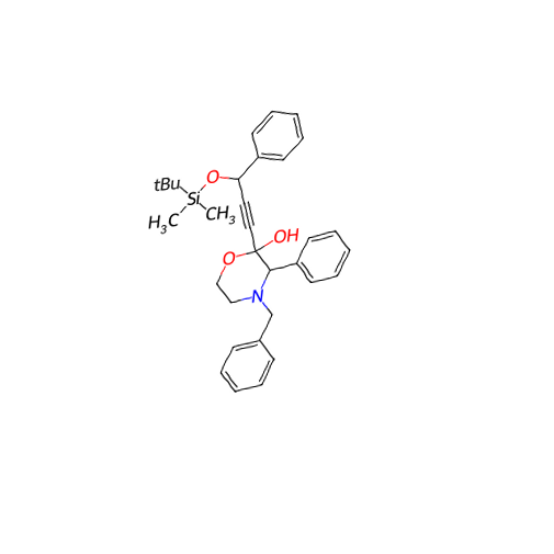 CC(C)(C)[Si](C)(C)OC(C#CC1(O)OCCN(Cc2ccccc2)C1c1ccccc1)c1ccccc1